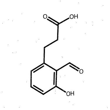 O=Cc1c(O)cccc1CCC(=O)O